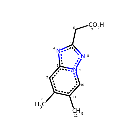 Cc1cc2nc(CC(=O)O)nn2cc1C